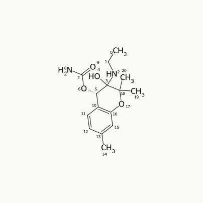 CCNC1(O)[C@@H](OC(N)=O)c2ccc(C)cc2OC1(C)C